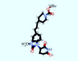 Cn1c(=O)n(C2CCC(=O)NC2=O)c2ccc(CCCC3CCN(C(=O)OC(C)(C)C)CC3)cc21